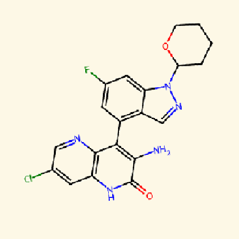 Nc1c(-c2cc(F)cc3c2cnn3C2CCCCO2)c2ncc(Cl)cc2[nH]c1=O